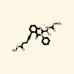 CC[C@H](NC(=O)OC(C)(C)C)c1nc2cccc(C#CCCC(=O)OC(C)(C)C)c2c(=O)n1-c1ccccc1